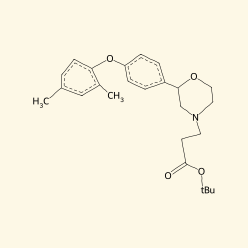 Cc1ccc(Oc2ccc(C3CN(CCC(=O)OC(C)(C)C)CCO3)cc2)c(C)c1